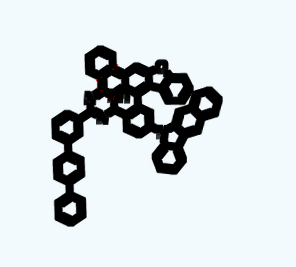 c1ccc(C2=NC(c3cccc(-c4ccc(-c5ccccc5)cc4)c3)=NC(c3ccc(-n4c5ccccc5c5cc6ccccc6cc54)cc3-c3c4ccccc4cc4oc5ccccc5c34)N2)cc1